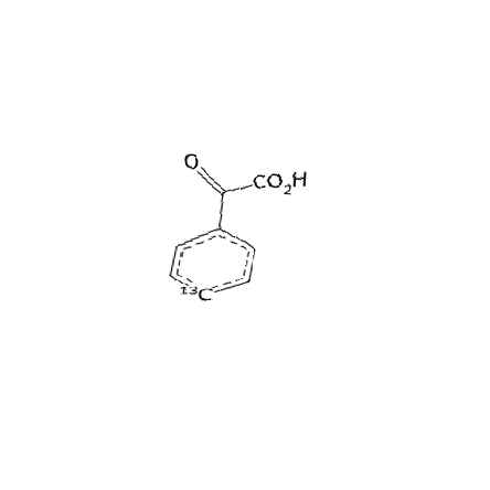 O=C(O)C(=O)c1cc[13cH]cc1